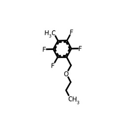 CCCOCc1c(F)c(F)c(C)c(F)c1F